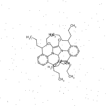 CCCC(CCC)c1cccc(C(CCC)CCC)c1N1C(Cl)=C(Cl)N(c2c(C(CCC)CCC)cccc2C(CCC)CCC)[CH]1[Pd]([Cl])[Cl]